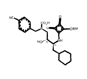 COc1c(N[C@@H](CC2CCCCC2)[C@H](O)CN(Cc2ccc(C#N)cc2)C(=O)O)c(=O)c1=O